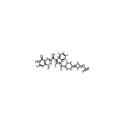 CSc1cc(C)[nH]c(=O)c1CNC(=O)c1c(C)n(C(C)C2CCC(N3CC(OC(F)F)C3)CC2)c2ccccc12